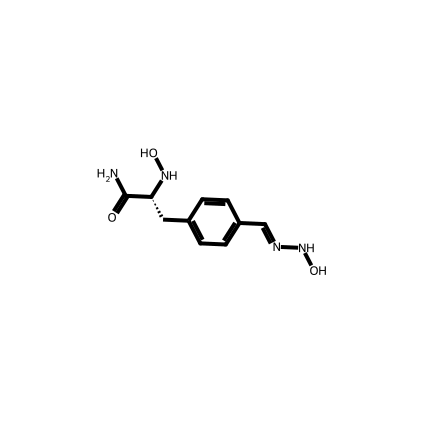 NC(=O)[C@@H](Cc1ccc(C=NNO)cc1)NO